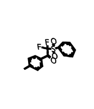 Cc1ccc(C(=O)C(F)(F)S(=O)(=O)c2ccccc2)cc1